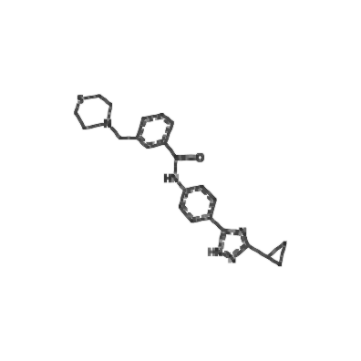 O=C(Nc1ccc(-c2nc(C3CC3)n[nH]2)cc1)c1cccc(CN2CCSCC2)c1